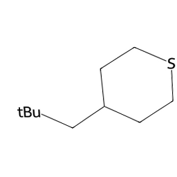 CC(C)(C)CC1CCSCC1